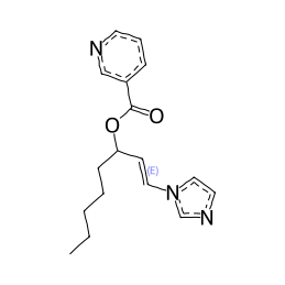 CCCCCC(/C=C/n1ccnc1)OC(=O)c1cccnc1